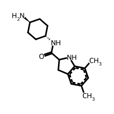 Cc1cc(C)c2c(c1)CC(C(=O)N[C@H]1CC[C@H](N)CC1)N2